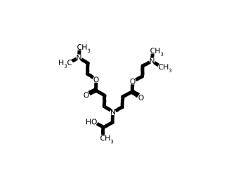 CC(O)CN(CCC(=O)OCCN(C)C)CCC(=O)OCCN(C)C